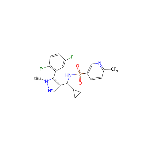 CC(C)(C)n1ncc(C(NS(=O)(=O)c2ccc(C(F)(F)F)nc2)C2CC2)c1-c1cc(F)ccc1F